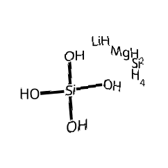 O[Si](O)(O)O.[LiH].[MgH2].[SiH4]